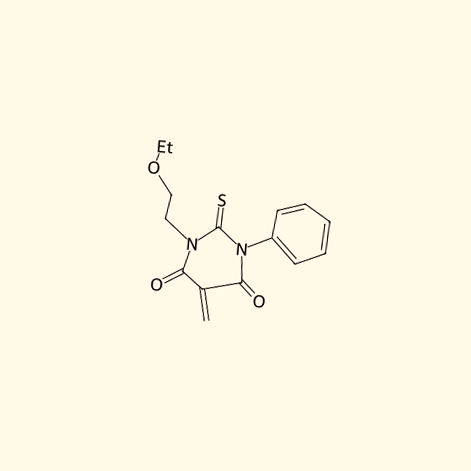 C=C1C(=O)N(CCOCC)C(=S)N(c2ccccc2)C1=O